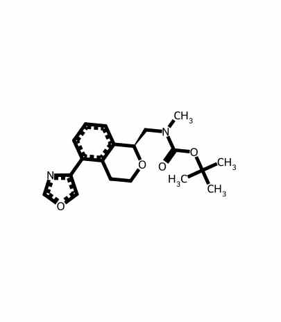 CN(C[C@H]1OCCc2c(-c3cocn3)cccc21)C(=O)OC(C)(C)C